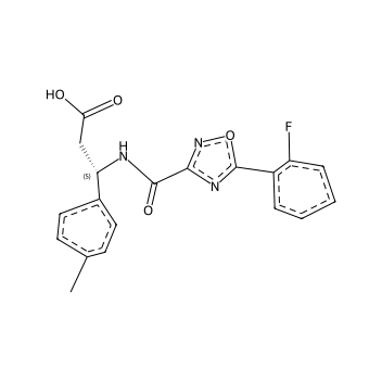 Cc1ccc([C@H](CC(=O)O)NC(=O)c2noc(-c3ccccc3F)n2)cc1